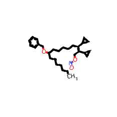 CCCCCCCC(CCCCCC(C1CC1)C(CON=O)C1CC1)OCc1ccccc1